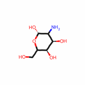 NC1[C@@H](O)[C@@H](O)C(CO)O[C@@H]1O